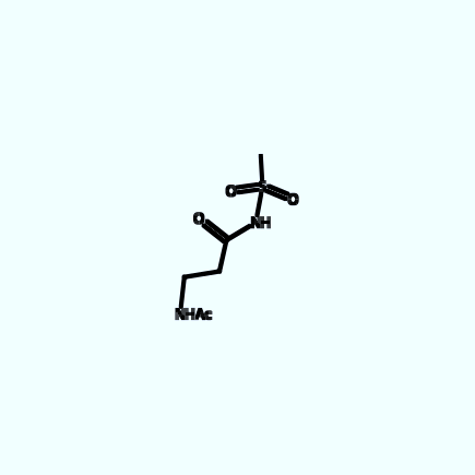 CC(=O)NCCC(=O)NS(C)(=O)=O